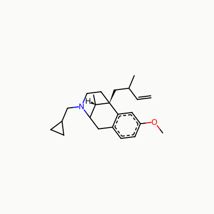 C=CC(C)C[C@@]12CCN(CC3CC3)C(Cc3ccc(OC)cc31)[C@@H]2C